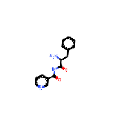 NC(Cc1ccccc1)C(=O)NC(=O)c1cccnc1